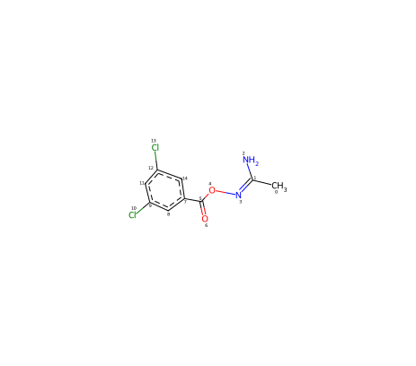 CC(N)=NOC(=O)c1cc(Cl)cc(Cl)c1